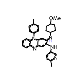 COC1CCC(/N=c2\cc3n(-c4ccc(C)cc4)c4ccccc4nc-3cc2Nc2ccc(C)nc2)CC1